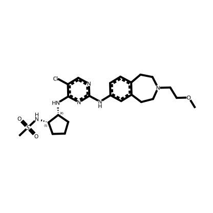 COCCN1CCc2ccc(Nc3ncc(Cl)c(N[C@@H]4CCC[C@@H]4NS(C)(=O)=O)n3)cc2CC1